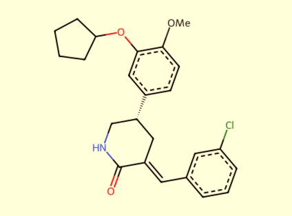 COc1ccc([C@H]2CNC(=O)/C(=C/c3cccc(Cl)c3)C2)cc1OC1CCCC1